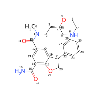 CN(CC[C@@H]1CNCCO1)C(=O)c1cc(C(N)=O)c2c(c1)C(c1ccccc1)CO2